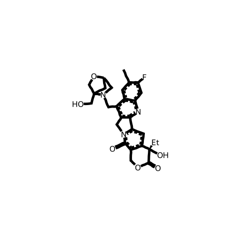 CC[C@@]1(O)C(=O)OCc2c1cc1n(c2=O)Cc2c-1nc1cc(F)c(C)cc1c2CN1CC2CC1(CO)CO2